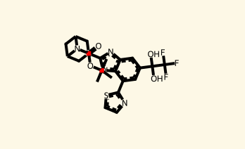 CC(C)(C)OC(=O)N1C2CC1CN(c1nc3cc(C(O)(O)C(F)(F)F)cc(-c4nccs4)c3o1)C2